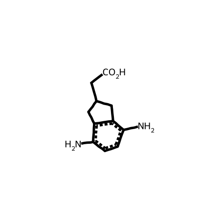 Nc1ccc(N)c2c1CC(CC(=O)O)C2